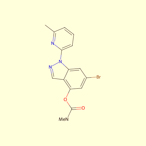 CNC(=O)Oc1cc(Br)cc2c1cnn2-c1cccc(C)n1